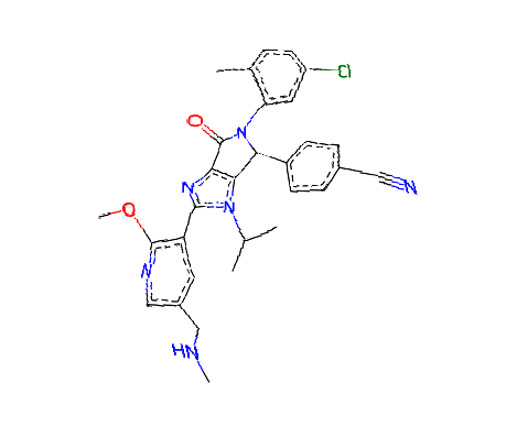 CNCc1cnc(OC)c(-c2nc3c(n2C(C)C)C(c2ccc(C#N)cc2)N(c2cc(Cl)ccc2C)C3=O)c1